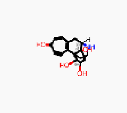 OC1C#CC2=C(C=C1)C[C@H]1NCCC23C(O)[C@H](O)CC[C@@]13O